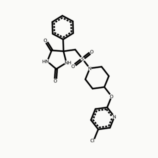 O=C1NC(=O)C(CS(=O)(=O)N2CCC(Oc3ccc(Cl)cn3)CC2)(c2ccccc2)N1